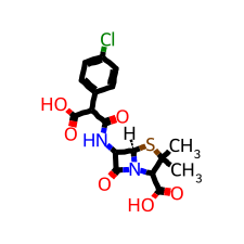 CC1(C)S[C@@H]2C(NC(=O)C(C(=O)O)c3ccc(Cl)cc3)C(=O)N2C1C(=O)O